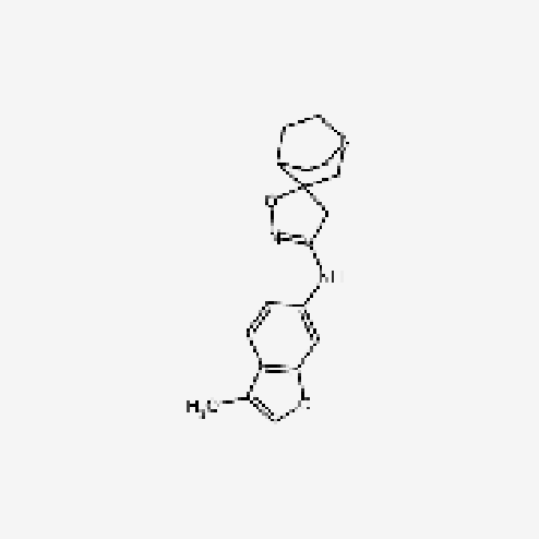 Cc1coc2cc(NC3=NOC4(C3)CN3CCC4CC3)ccc12